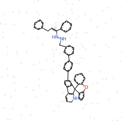 C1=CC2=C(NC1)C1(c3ccccc3Oc3ccccc31)c1cc(-c3ccc(-c4cccc(CNN/C(=C\Cc5ccccc5)c5ccccc5)c4)cc3)ccc12